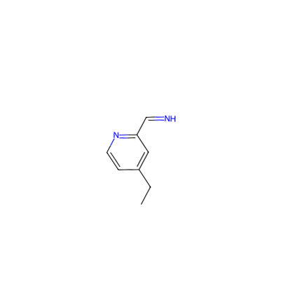 CCc1ccnc(C=N)c1